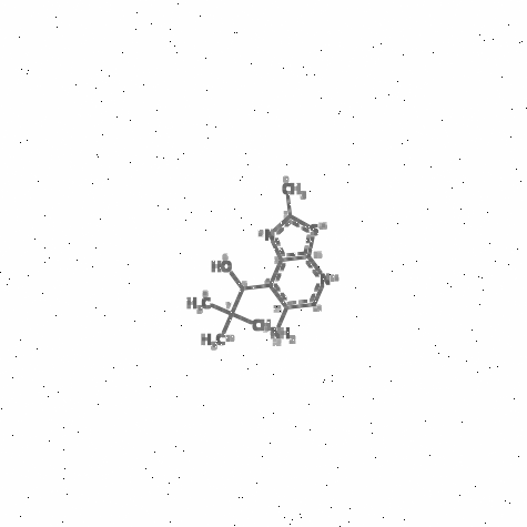 Cc1nc2c(C(O)C(C)(C)C)c(N)cnc2s1